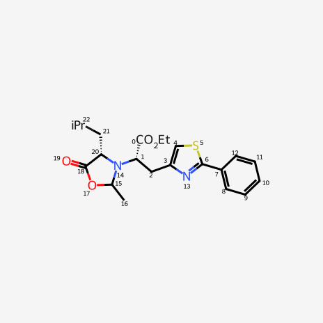 CCOC(=O)[C@H](Cc1csc(-c2ccccc2)n1)N1C(C)OC(=O)[C@@H]1CC(C)C